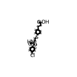 O=C(O)CCc1ccc(SCCNS(=O)(=O)c2ccc(Cl)cc2)cc1